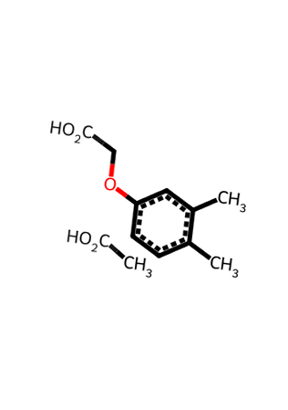 CC(=O)O.Cc1ccc(OCC(=O)O)cc1C